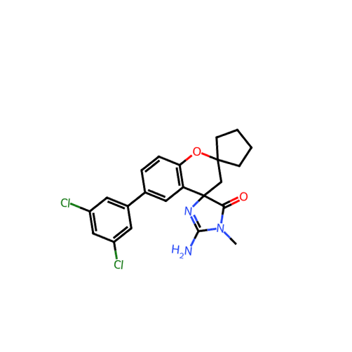 CN1C(=O)C2(CC3(CCCC3)Oc3ccc(-c4cc(Cl)cc(Cl)c4)cc32)N=C1N